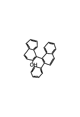 Oc1ccc2ccccc2c1-c1c(-c2ccccc2)ccc2ccccc12